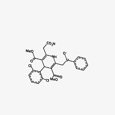 COC(=O)C1=C(CC(=O)O)NC(C[S+]([O-])c2ccccc2)=C(C(=O)OC)C1c1c(Cl)cccc1Cl